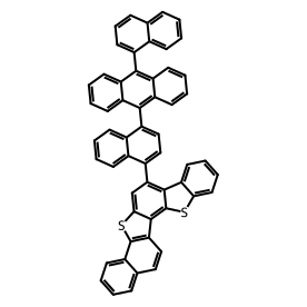 c1ccc2c(-c3c4ccccc4c(-c4ccc(-c5cc6sc7c8ccccc8ccc7c6c6sc7ccccc7c56)c5ccccc45)c4ccccc34)cccc2c1